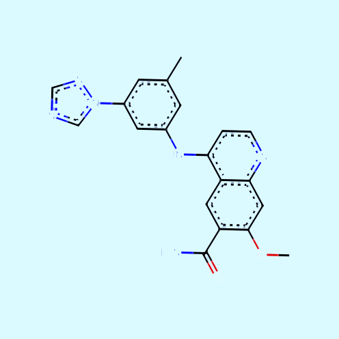 COc1cc2nccc(Nc3cc(C)cc(-n4cncn4)c3)c2cc1C(N)=O